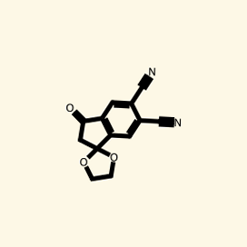 N#Cc1cc2c(cc1C#N)C1(CC2=O)OCCO1